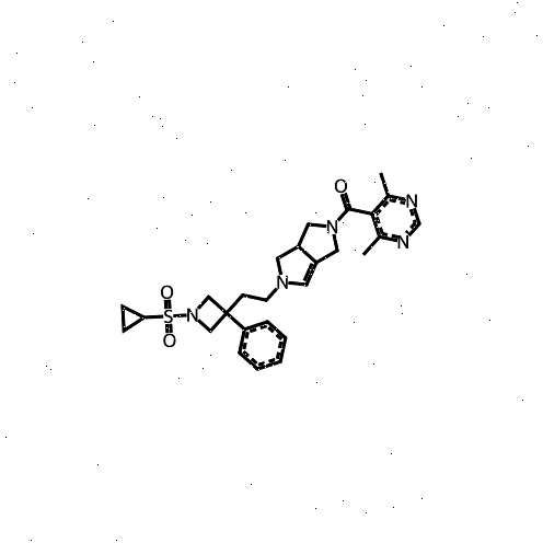 Cc1ncnc(C)c1C(=O)N1CC2=CN(CCC3(c4ccccc4)CN(S(=O)(=O)C4CC4)C3)CC2C1